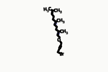 CC(C)=CCC/C(C)=C/CC/C(C)=C/COCC#CCBr